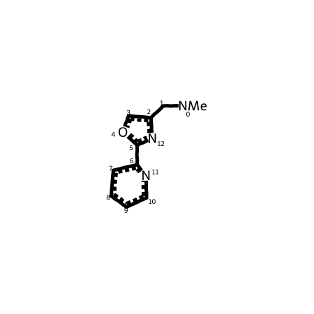 CNCc1coc(-c2ccccn2)n1